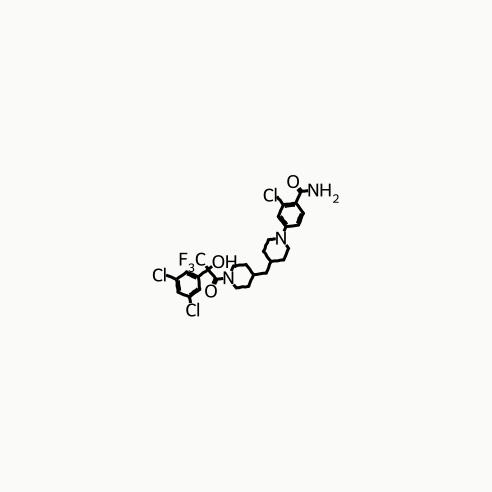 NC(=O)c1ccc(N2CCC(CC3CCN(C(=O)C(O)(c4cc(Cl)cc(Cl)c4)C(F)(F)F)CC3)CC2)cc1Cl